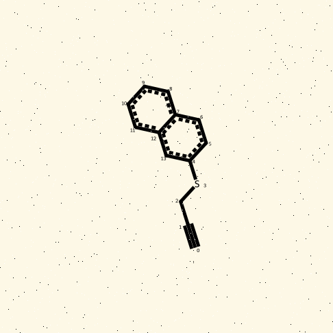 C#CCSc1ccc2ccccc2c1